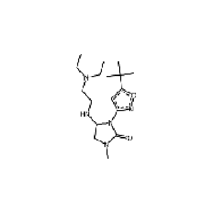 CCN(CC)CCNC1CN(C)C(=O)N1c1cc(C(C)(C)C)on1